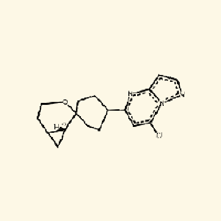 Clc1cc(C2CCC3(CC2)OCCC2C[C@H]23)nc2ccnn12